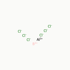 [Al+3].[B+3].[Cl-].[Cl-].[Cl-].[Cl-].[Cl-].[Cl-]